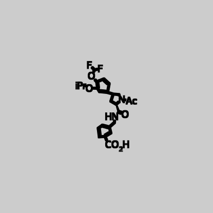 CC(=O)N1CC(c2ccc(OC(F)F)c(OC(C)C)c2)C[C@@H]1C(=O)NCc1cccc(C(=O)O)c1